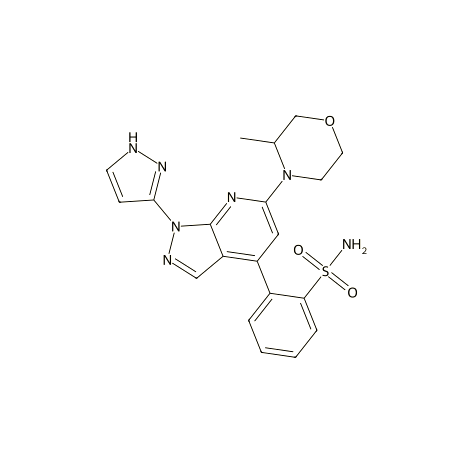 CC1COCCN1c1cc(-c2ccccc2S(N)(=O)=O)c2cnn(-c3cc[nH]n3)c2n1